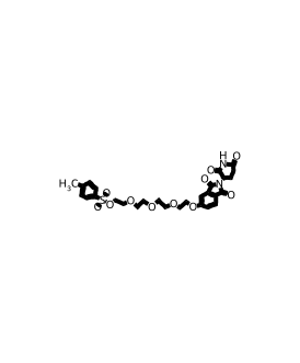 Cc1ccc(S(=O)(=O)OCCOCCOCCOCCOc2ccc3c(c2)C(=O)N(C2CCC(=O)NC2=O)C3=O)cc1